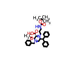 COc1ccccc1CN1CC(C(c2ccccc2)c2ccccc2)N(CCCNC(=O)OC(C)(C)C)[C@@H](C(=O)O)C1